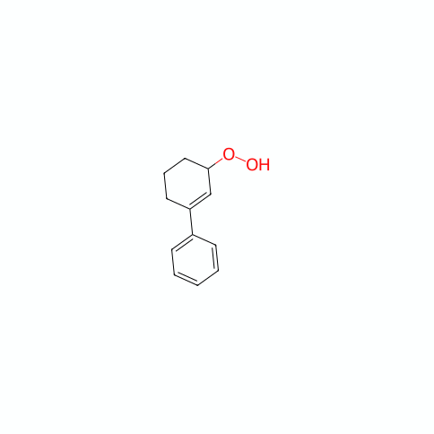 OOC1C=C(c2ccccc2)CCC1